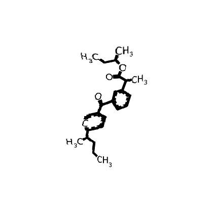 CCCC(C)c1ccc(C(=O)c2cccc(C(C)C(=O)OC(C)CC)c2)cc1